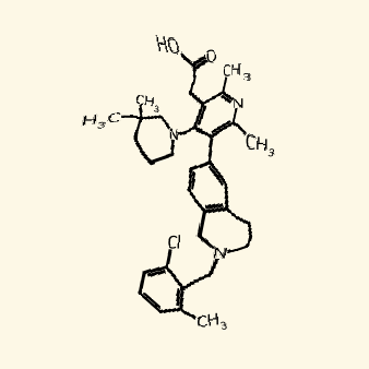 Cc1cccc(Cl)c1CN1CCc2cc(-c3c(C)nc(C)c(CC(=O)O)c3N3CCCC(C)(C)C3)ccc2C1